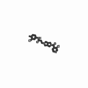 Cc1ccc(NC(=O)CCN2CC3CN(C(=O)c4ccncc4Cl)CC3C2)cc1Cl